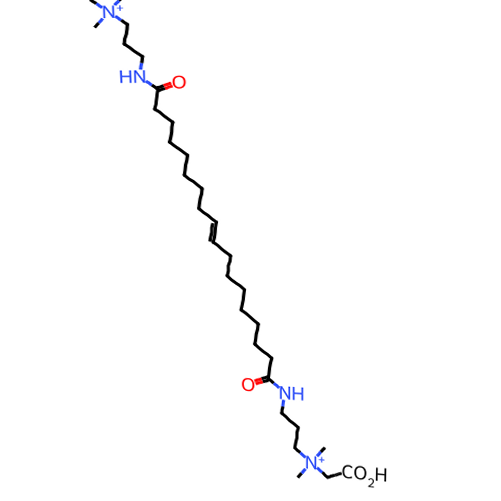 C[N+](C)(C)CCCNC(=O)CCCCCCC/C=C/CCCCCCCC(=O)NCCC[N+](C)(C)CC(=O)O